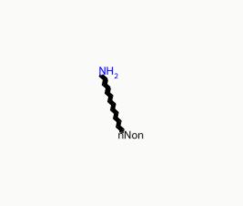 CCCCCCCCCCCCCCCCCC/C=C/C=C/CN